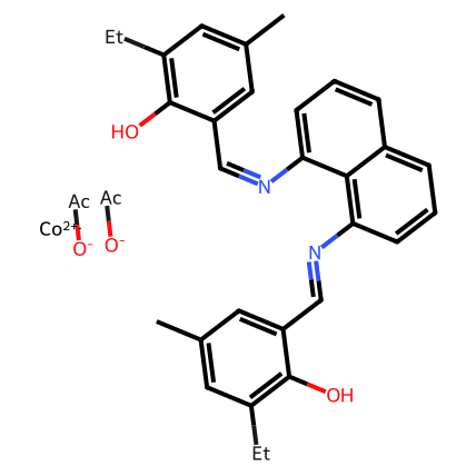 CC(=O)[O-].CC(=O)[O-].CCc1cc(C)cc(C=Nc2cccc3cccc(N=Cc4cc(C)cc(CC)c4O)c23)c1O.[Co+2]